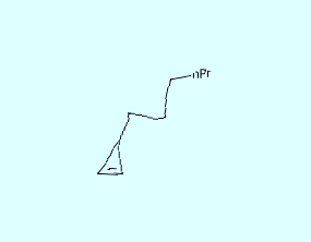 [CH2]CCCCCC1C=C1